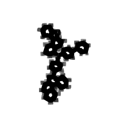 c1ccc(-c2ccc(N(c3ccc(-c4cc5ccc6ccccc6c5c5ccccc45)cc3)c3cccc4c3ccc3oc5ccccc5c34)cc2)cc1